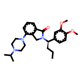 [CH2]CC[C@H](c1ccc(OC)c(OC)c1)N1Cc2c(cccc2N2CCN(C(C)C)CC2)C1=O